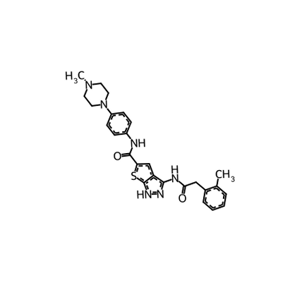 Cc1ccccc1CC(=O)Nc1n[nH]c2sc(C(=O)Nc3ccc(N4CCN(C)CC4)cc3)cc12